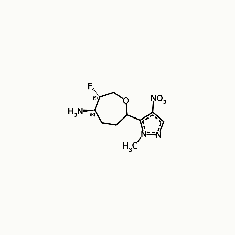 Cn1ncc([N+](=O)[O-])c1C1CC[C@@H](N)[C@H](F)CO1